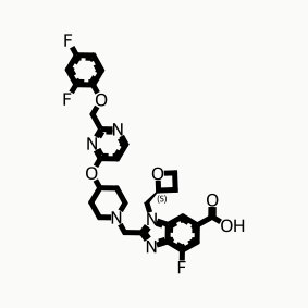 O=C(O)c1cc(F)c2nc(CN3CCC(Oc4ccnc(COc5ccc(F)cc5F)n4)CC3)n(C[C@@H]3CCO3)c2c1